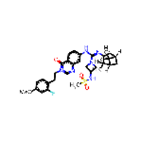 COc1ccc(CCn2cnc3cc(N/C(=N/C4C[C@@H]5C[C@H]([C@@H]4C)C5(C)C)N4CC(NS(C)(=O)=O)C4)ccc3c2=O)c(F)c1